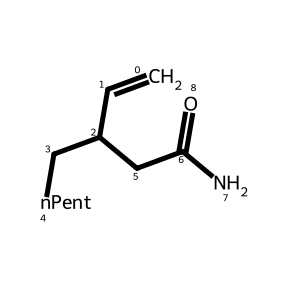 C=CC(CCCCCC)CC(N)=O